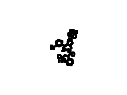 CC(C)(C)OC(=O)N1CC(Cc2cccc(Br)c2)C(CN(C(=O)C2CC(=O)Nc3ccccc32)C2CC2)C1